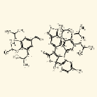 CC(C)Oc1cc(C=O)cc(OC(C)C)c1OC(C)C.Cc1ccc(C2(O)OC(=O)C(c3ccc4nsnc4c3)=C2Cc2cc(OC(C)C)c(OC(C)C)c(OC(C)C)c2)cc1